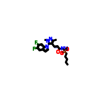 CCCCCS(=O)(=O)NC(=O)/C=C/c1c(C)nn(C)c1-n1ccc2cc(F)c(F)cc21